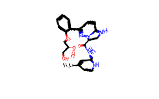 CC1=CC(NC(=O)C2=CNC3C=CC(c4ccccc4OC[C@H](O)CO)=NN23)NC=C1